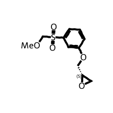 COCS(=O)(=O)c1cccc(OC[C@@H]2CO2)c1